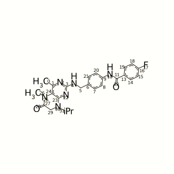 Cc1nc(NCc2ccc(NC(=O)c3ccc(F)cc3)cc2)nc2c1N(C)C(=O)CN2C(C)C